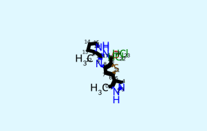 Cc1[nH]ncc1-c1cc2nc([C@@]3(C)CCCN3)[nH]c(=O)c2s1.Cl.Cl